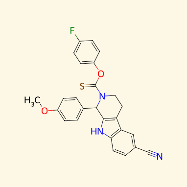 COc1ccc(C2c3[nH]c4ccc(C#N)cc4c3CCN2C(=S)Oc2ccc(F)cc2)cc1